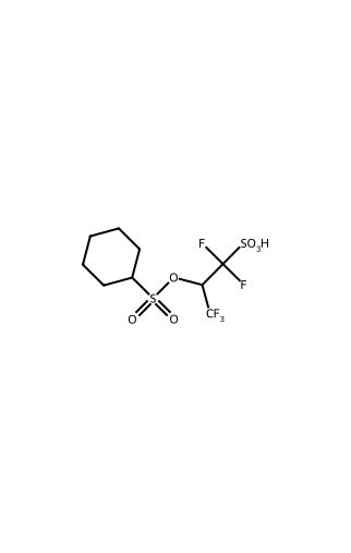 O=S(=O)(OC(C(F)(F)F)C(F)(F)S(=O)(=O)O)C1CCCCC1